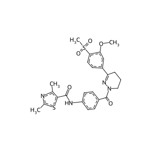 COc1cc(C2=NN(C(=O)c3ccc(NC(=O)c4sc(C)nc4C)cc3)CCC2)ccc1S(C)(=O)=O